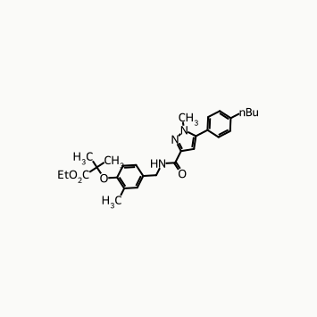 CCCCc1ccc(-c2cc(C(=O)NCc3ccc(OC(C)(C)C(=O)OCC)c(C)c3)nn2C)cc1